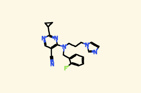 N#Cc1cnc(C2CC2)nc1N(CCCn1ccnc1)Cc1ccccc1F